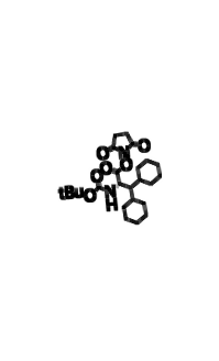 CC(C)(C)OC(=O)N[C@H](C(=O)ON1C(=O)CCC1=O)C(C1CCCCC1)C1CCCCC1